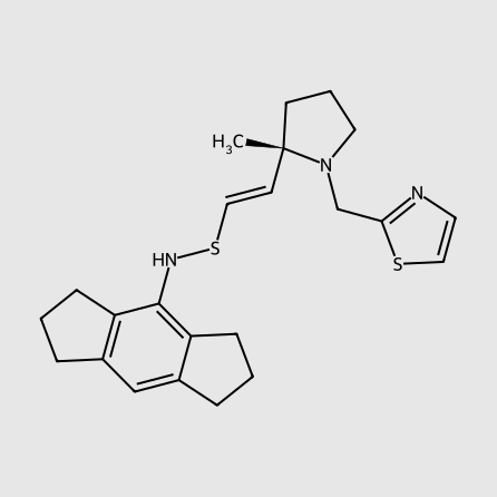 C[C@@]1(/C=C/SNc2c3c(cc4c2CCC4)CCC3)CCCN1Cc1nccs1